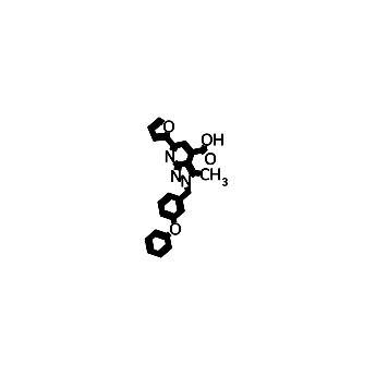 Cc1c2c(C(=O)O)cc(-c3ccco3)nc2nn1Cc1cccc(Oc2ccccc2)c1